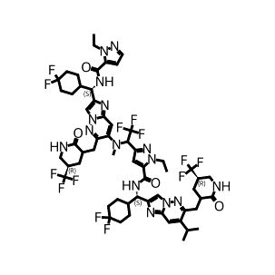 CCn1nc(C(N(C)c2cc3nc([C@@H](NC(=O)c4ccnn4CC)C4CCC(F)(F)CC4)cn3nc2CC2C[C@@H](C(F)(F)F)CNC2=O)C(F)(F)F)cc1C(=O)N[C@H](c1cn2nc(CC3C[C@@H](C(F)(F)F)CNC3=O)c(C(C)C)cc2n1)C1CCC(F)(F)CC1